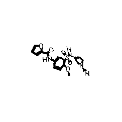 COc1ccc(NC(=O)c2ccco2)cc1S(=O)(=O)N[C@@H]1CCN(C#N)C1